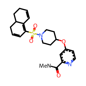 CNC(=O)c1cc(OC2CCN(S(=O)(=O)C3=C4C=CCCC4CC=C3)CC2)ccn1